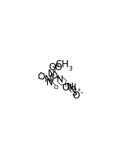 COC(=O)c1cc(N2CCC(O)(CN3CC[S+]([O-])CC3)CC2)c2c(C3CCC3)nn(-c3ccccc3)c2n1